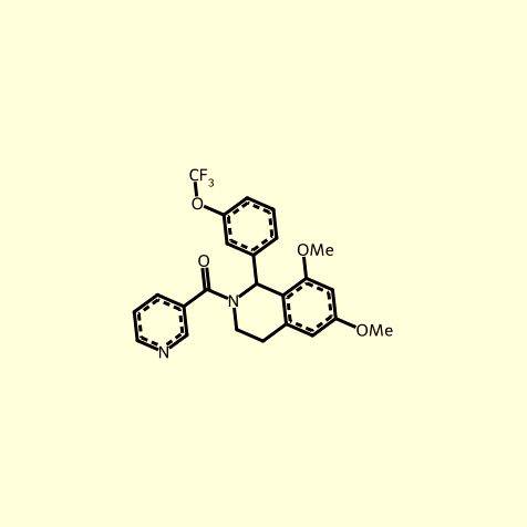 COc1cc2c(c(OC)c1)C(c1cccc(OC(F)(F)F)c1)N(C(=O)c1cccnc1)CC2